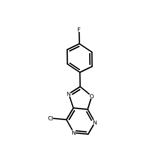 Fc1ccc(-c2nc3c(Cl)ncnc3o2)cc1